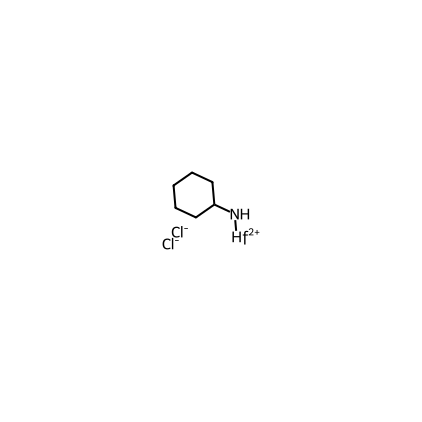 [Cl-].[Cl-].[Hf+2][NH]C1CCCCC1